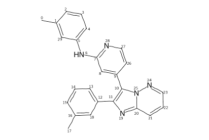 Cc1cccc(Nc2cc(-c3c(-c4cccc(C)c4)nc4cccnn34)ccn2)c1